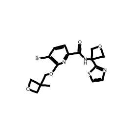 CC1(COc2nc(C(=O)NC3(c4nccs4)COC3)ccc2Br)COC1